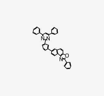 c1ccc(-c2cc(-c3ccccc3)nc(-c3cccc(-c4ccc5c(ccc6oc(-c7ccccc7)nc65)c4)c3)n2)cc1